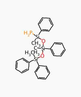 C[Si](P)(O[Si](C)(O[Si](C)(c1ccccc1)c1ccccc1)c1ccccc1)c1ccccc1